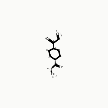 C=CC(=O)[C@H]1CC[C@@H](C(=O)OC)CC1